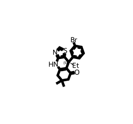 CC[C@]1(c2cccc(Br)c2)C2=C(CC(C)(C)CC2=O)Nc2ncsc21